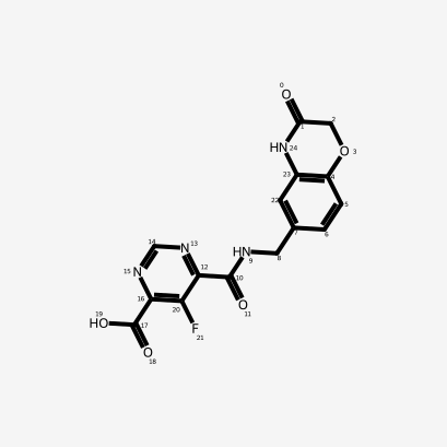 O=C1COc2ccc(CNC(=O)c3ncnc(C(=O)O)c3F)cc2N1